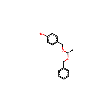 C[C@@H](OCc1ccccc1)OCc1ccc(O)cc1